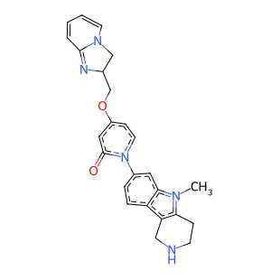 Cn1c2c(c3ccc(-n4ccc(OCC5CN6C=CC=CC6=N5)cc4=O)cc31)CNCC2